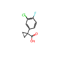 O=C(O)C1(c2ccc(F)c(Cl)c2)CC1